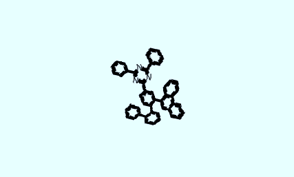 c1ccc(-c2nc(-c3ccccc3)nc(-c3ccc(-c4ccccc4-c4ccccc4)c(-c4cc5ccccc5c5ccccc45)c3)n2)cc1